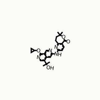 CC1(C)CCc2nc(Nc3cc4c(C(C)(C)O)cnc(OC5CC5)c4cn3)ccc2C(=O)O1